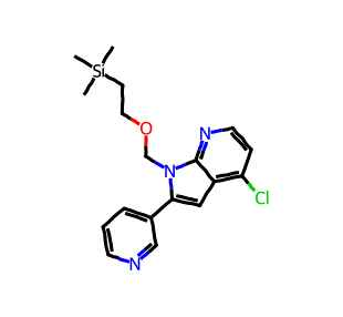 C[Si](C)(C)CCOCn1c(-c2cccnc2)cc2c(Cl)ccnc21